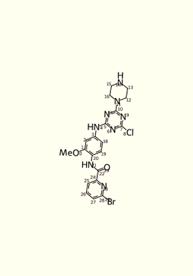 COc1cc(Nc2nc(Cl)nc(N3CCNCC3)n2)ccc1NC(=O)c1cccc(Br)n1